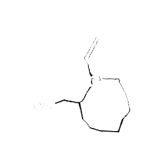 C=CN1CCCCC1C=O